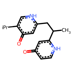 CC(C)c1c[nH]c(CC(C)c2cc(=O)cc[nH]2)cc1=O